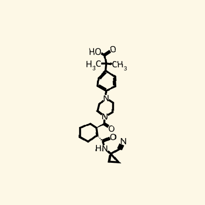 CC(C)(C(=O)O)c1ccc(N2CCN(C(=O)[C@@H]3CCCC[C@H]3C(=O)NC3(C#N)CC3)CC2)cc1